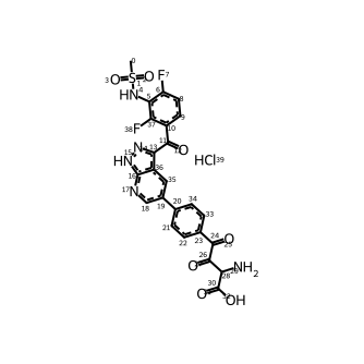 CS(=O)(=O)Nc1c(F)ccc(C(=O)c2n[nH]c3ncc(-c4ccc(C(=O)C(=O)C(N)C(=O)O)cc4)cc23)c1F.Cl